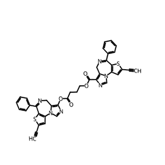 C#Cc1cc2c(s1)C(c1ccccc1)=NCc1c(OC(=O)CCCOC(=O)c3ncn4c3CN=C(c3ccccc3)c3sc(C#C)cc3-4)ncn1-2